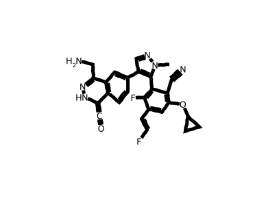 Cn1ncc(-c2ccc3c(c2)C(CN)=NNC3=C=O)c1-c1c(F)c(/C=C/F)cc(OC2CC2)c1C#N